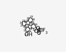 O=S(=O)(Oc1ccc(C2(c3ccc(O)cc3)c3ccccc3-c3ccccc32)cc1)C(F)(F)F